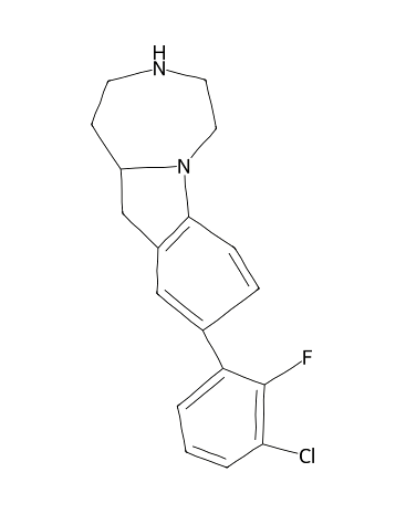 Fc1c(Cl)cccc1-c1ccc2c(c1)CC1CCNCCN21